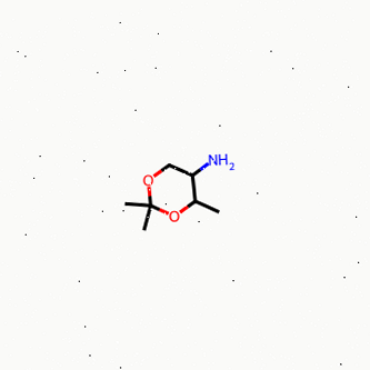 CC1OC(C)(C)OCC1N